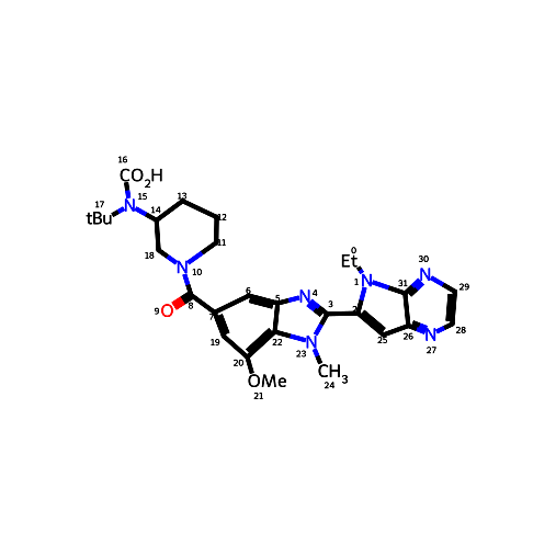 CCn1c(-c2nc3cc(C(=O)N4CCCC(N(C(=O)O)C(C)(C)C)C4)cc(OC)c3n2C)cc2nccnc21